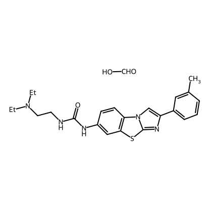 CCN(CC)CCNC(=O)Nc1ccc2c(c1)sc1nc(-c3cccc(C)c3)cn12.O=CO